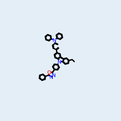 C=C(/C=C\C(=C)N(c1ccccc1)c1ccccc1)c1ccc2c(c1)c1cc(CC)ccc1n2-c1ccc(-c2nnc(-c3ccccc3)o2)cc1